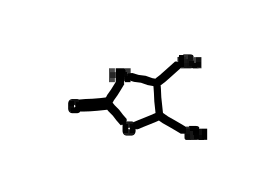 CC(C)(C)C1NC(=O)OC1C(C)(C)C